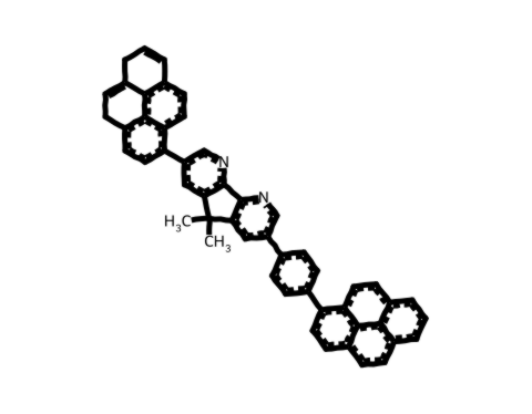 CC1(C)c2cc(-c3ccc(-c4ccc5ccc6cccc7ccc4c5c67)cc3)cnc2-c2ncc(-c3ccc4c5c6c(ccc35)C=CCC6=CC4)cc21